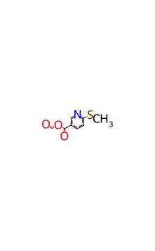 CSc1ccc(C(=O)OC=O)cn1